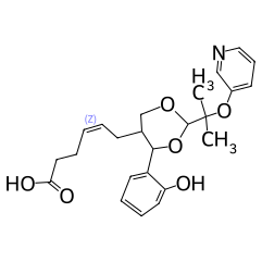 CC(C)(Oc1cccnc1)C1OCC(C/C=C\CCC(=O)O)C(c2ccccc2O)O1